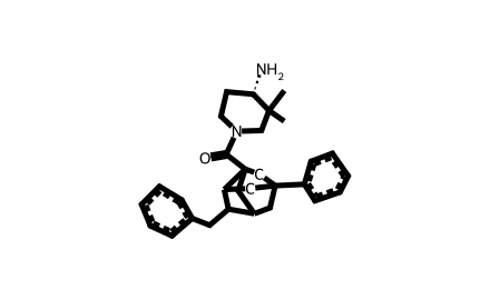 CC1(C)CN(C(=O)C23CC4CC(c5ccccc5)(CC2C4Cc2ccccc2)C3)CC[C@@H]1N